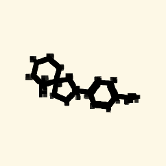 CC(C)c1ccc(N2CCC3(CCCCN3)C2)cc1